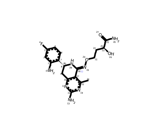 Bc1cc(F)ccc1[C@H]1Cc2nc(N)nc(C)c2/C(=N/OCC[C@H](O)C(N)=O)N1